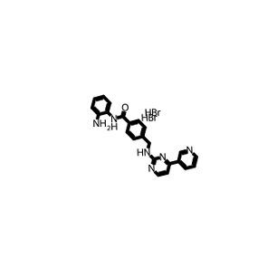 Br.Br.Nc1ccccc1NC(=O)c1ccc(CNc2nccc(-c3cccnc3)n2)cc1